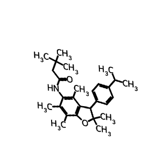 Cc1c(C)c2c(c(C)c1NC(=O)CC(C)(C)C)C(c1ccc(C(C)C)cc1)C(C)(C)O2